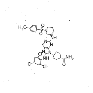 Cc1ccc(S(=O)(=O)N2CCC[C@@H](Nc3ncc4nc(Nc5c(Cl)cc(Cl)cc5Cl)n([C@H]5CC[C@@H](C(N)=O)CC5)c4n3)C2)cc1